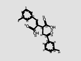 Cc1cccc(C=C(C(=O)O)C(CC(=O)c2cccc(C)c2)C(=O)O)c1